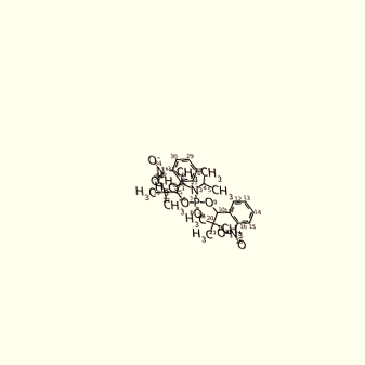 CC(C)N(C(C)C)P(=O)(OC(c1ccccc1[N+](=O)[O-])C(C)(C)C)OC(c1ccccc1[N+](=O)[O-])C(C)(C)C